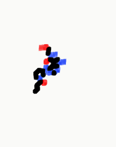 CC=CC(=O)N1CCC[C@@H](Nc2ncnc3[nH]cc(C(=O)NCCO)c23)C1